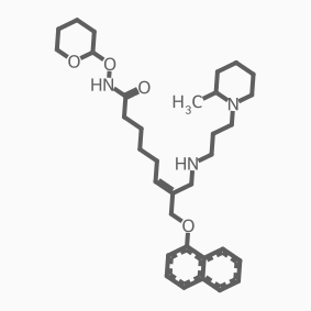 CC1CCCCN1CCCNC/C(=C\CCCCC(=O)NOC1CCCCO1)COc1cccc2ccccc12